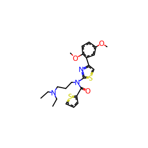 CCN(CC)CCCN(C(=O)c1cccs1)c1nc(-c2cc(OC)ccc2OC)cs1